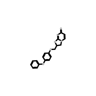 O=c1ccn2c(n1)OC(COc1ccc(Oc3ccccc3)cc1)C2